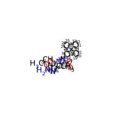 CC(C)OC(=O)c1c(CN2CN(c3ccc(C(c4ccccc4)(c4ccccc4)c4ccccc4)cc3)C(C(=O)C=O)C2(C)C)ccnc1N